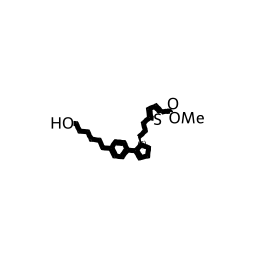 COC(=O)c1ccc(CCC[C@H]2CCC=C2c2ccc(CCCCCCO)cc2)s1